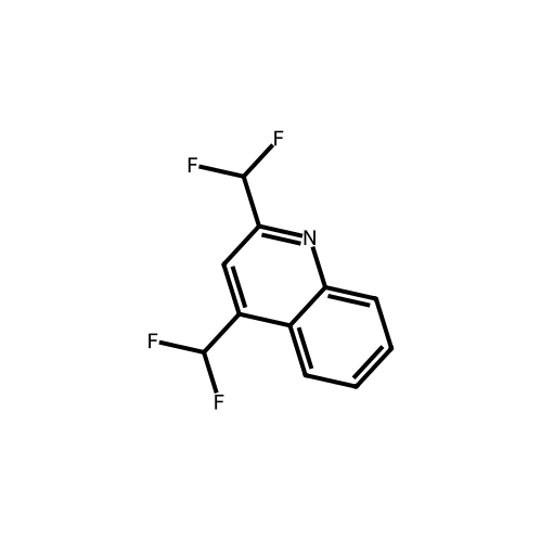 FC(F)c1cc(C(F)F)c2ccccc2n1